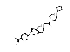 NC(=O)c1ccc(-n2cc3c(n2)CCN(CC(=O)N2CCN(C4CCC4)CC2)C3)nn1